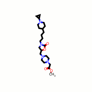 COC(=O)CN1CCN(CC2CN(CCCCC3CCN(C4CC4)CC3)C(=O)O2)CC1